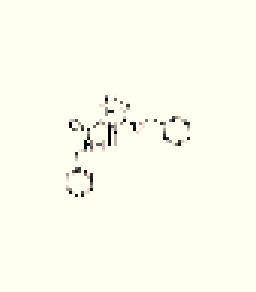 O=C(NC(CO)C(=O)NCc1ccccc1)OCc1ccccc1